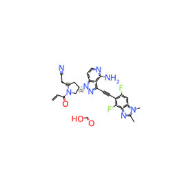 C=CC(=O)N1C[C@@H](n2nc(C#Cc3c(F)cc4c(nc(C)n4C)c3F)c3c(N)nccc32)C[C@@H]1CC#N.O=CO